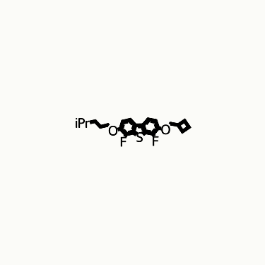 CC(C)CCCOc1ccc2c(sc3c(F)c(OCC4CCC4)ccc32)c1F